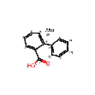 O=C(O)c1ccccc1-c1ccccc1.[Mo]